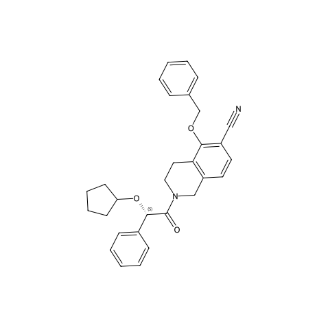 N#Cc1ccc2c(c1OCc1ccccc1)CCN(C(=O)[C@@H](OC1CCCC1)c1ccccc1)C2